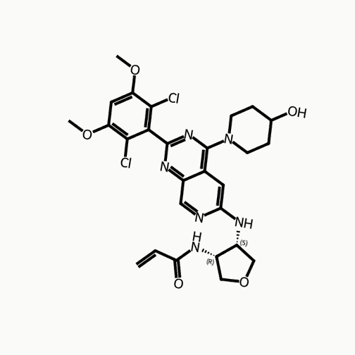 C=CC(=O)N[C@H]1COC[C@H]1Nc1cc2c(N3CCC(O)CC3)nc(-c3c(Cl)c(OC)cc(OC)c3Cl)nc2cn1